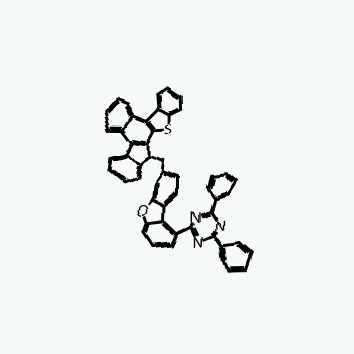 c1ccc(-c2nc(-c3ccccc3)nc(-c3cccc4oc5cc(CC6c7ccccc7-c7c6c6sc8ccccc8c6c6ccccc76)ccc5c34)n2)cc1